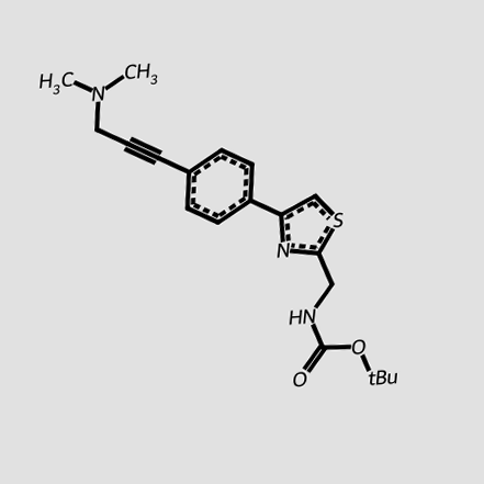 CN(C)CC#Cc1ccc(-c2csc(CNC(=O)OC(C)(C)C)n2)cc1